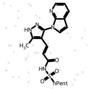 CCCCCS(=O)(=O)NC(=O)C=Cc1c(-n2ccc3cccnc32)n[nH]c1C